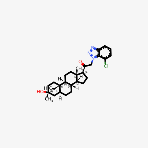 CC[C@]12CC[C@@](C)(O)C[C@@H]1CC[C@H]1[C@@H]3CC[C@H](C(=O)Cn4nnc5cccc(Cl)c54)[C@@]3(C)CC[C@@H]12